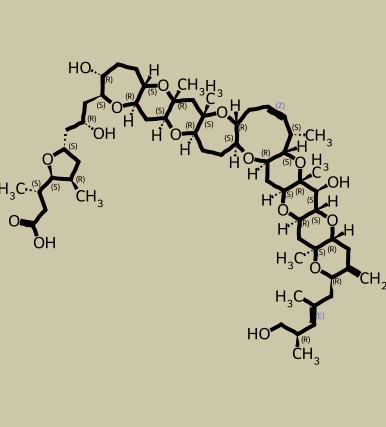 C=C1C[C@H]2O[C@@H]3[C@@H](C[C@]2(C)O[C@@H]1C/C(C)=C/[C@@H](C)CO)O[C@H]1C[C@H]2O[C@H]4CC[C@H]5O[C@H]6C[C@H]7O[C@@H](C[C@H](O)C[C@@H]8C[C@@H](C)[C@@H]([C@@H](C)CC(=O)O)O8)[C@H](O)CC[C@@H]7O[C@]6(C)C[C@]5(C)O[C@@H]4C/C=C\[C@H](C)[C@@H]2O[C@]1(C)[C@H]3O